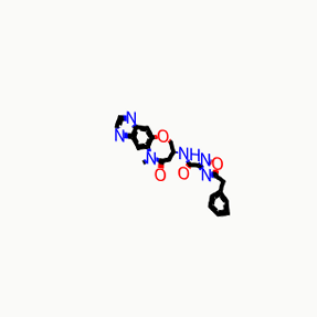 CN1C(=O)C[C@@H](NC(=O)c2noc(Cc3ccccc3)n2)COc2cc3nccnc3cc21